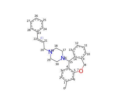 Cc1ccc2c(c1)OCc1ccccc1C2N1CCN(C/C=C/c2ccccc2)CC1